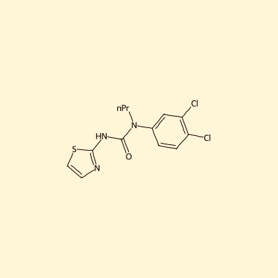 CCCN(C(=O)Nc1nccs1)c1ccc(Cl)c(Cl)c1